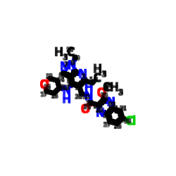 CCc1nc2c(cnn2CC)c(NC2CCOCC2)c1CNC(=O)c1nc2ccc(Cl)cc2nc1OC